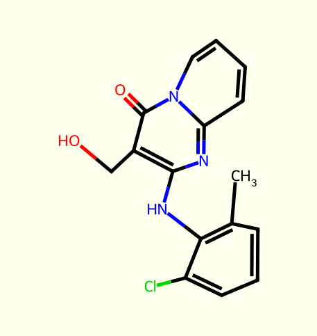 Cc1cccc(Cl)c1Nc1nc2ccccn2c(=O)c1CO